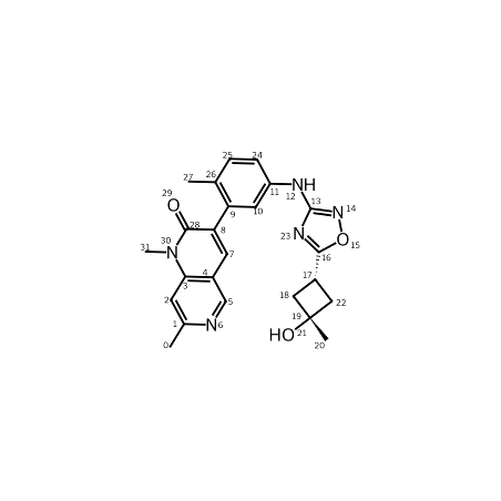 Cc1cc2c(cn1)cc(-c1cc(Nc3noc([C@H]4C[C@@](C)(O)C4)n3)ccc1C)c(=O)n2C